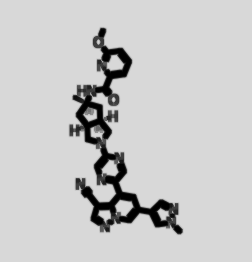 COc1cccc(C(=O)N[C@]2(C)C[C@H]3CN(c4cnc(-c5cc(-c6cnn(C)c6)cn6ncc(C#N)c56)cn4)C[C@H]3C2)n1